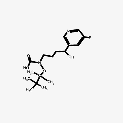 CC(C)(C)[Si](C)(C)ON(CCCC(O)c1cncc(F)c1)C(=O)O